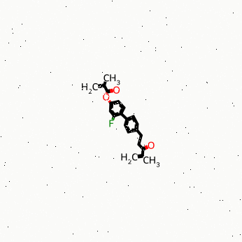 C=C(C)C(=O)CCc1ccc(-c2ccc(OC(=O)C(=C)C)cc2F)cc1